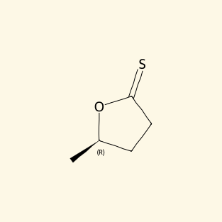 C[C@@H]1CCC(=S)O1